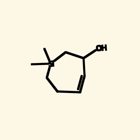 C[Si]1(C)CCC=CC(O)C1